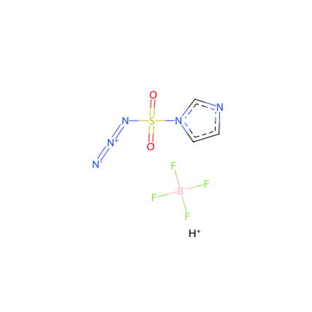 F[B-](F)(F)F.[H+].[N-]=[N+]=NS(=O)(=O)n1ccnc1